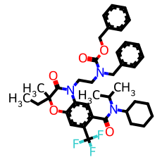 CCC1(C)Oc2cc(C(F)(F)F)c(C(=O)N(C(C)C)C3CCCCC3)cc2N(CCN(Cc2ccccc2)C(=O)OCc2ccccc2)C1=O